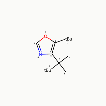 CC(C)(C)c1ocnc1C(C)(C)C(C)(C)C